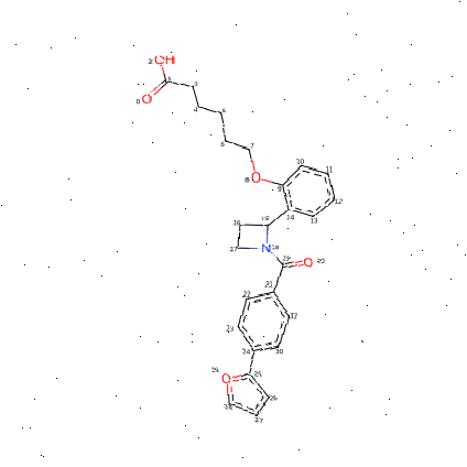 O=C(O)CCCCCOc1ccccc1C1CCN1C(=O)c1ccc(-c2ccco2)cc1